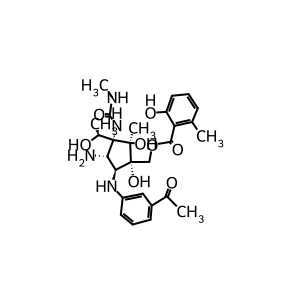 CNC(=O)N[C@@]1([C@H](C)O)[C@@H](N)[C@H](Nc2cccc(C(C)=O)c2)[C@](O)(COC(=O)c2c(C)cccc2O)[C@]1(C)O